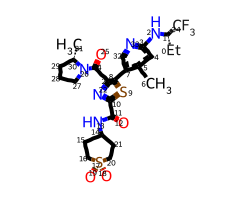 CC[C@H](Nc1cc(C)c(-c2sc(C(=O)NC3CCS(=O)(=O)CC3)nc2C(=O)N2CCC[C@@H]2C)cn1)C(F)(F)F